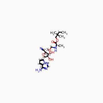 CCC(C)(C)COC(=O)[C@H](C)NCOC[C@@]1(C#N)O[C@@H](c2ccc3c(N)ncnn23)[C@H](O)[C@@H]1O